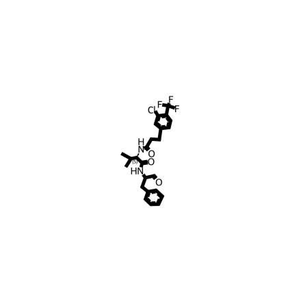 CC(C)[C@H](NC(=O)CCc1ccc(C(F)(F)F)c(Cl)c1)C(=O)NC(C=O)Cc1ccccc1